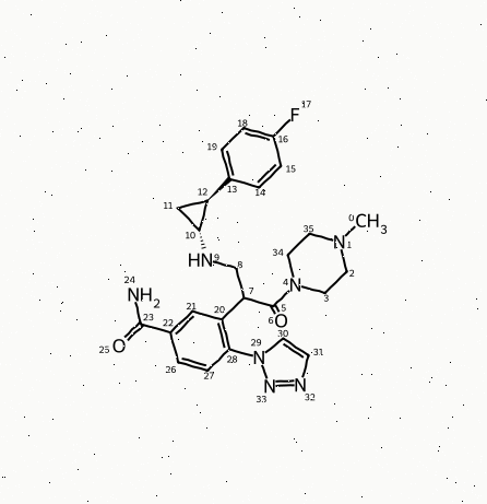 CN1CCN(C(=O)C(CN[C@@H]2C[C@H]2c2ccc(F)cc2)c2cc(C(N)=O)ccc2-n2ccnn2)CC1